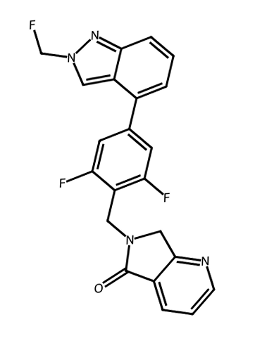 O=C1c2cccnc2CN1Cc1c(F)cc(-c2cccc3nn(CF)cc23)cc1F